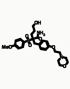 COc1ccc(S(=O)(=O)C(CCCO)(Cc2ccc(OCCN3CCOCC3)cc2)C(N)=O)cc1